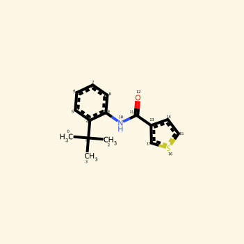 CC(C)(C)c1ccccc1NC(=O)c1ccsc1